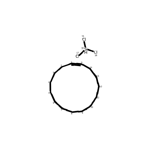 C1=CCCCCCCCCCCCCC1.Cl[SiH](Cl)Cl